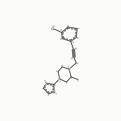 CC1CN(c2nccs2)CCN1CC#Cc1cccc(Cl)c1